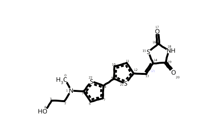 CN(CCO)c1ccc(-c2ccc(/C=C3\SC(=O)NC3=O)s2)s1